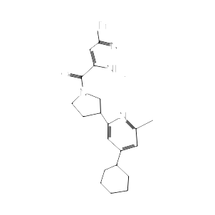 Cc1cc(C2CCCCC2)cc(C2CCN(C(=O)/C(N)=C/C(=N)C(C)C)C2)n1